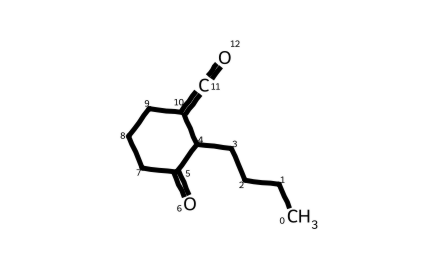 CCCCC1C(=O)CCCC1=C=O